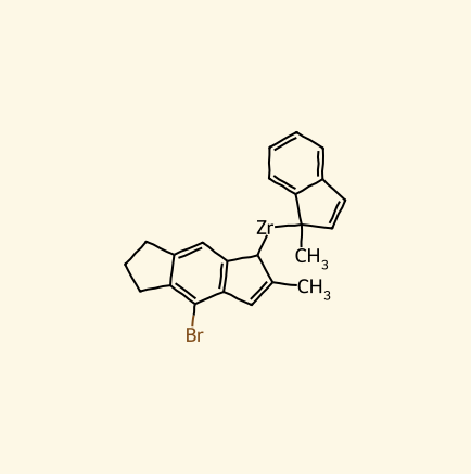 CC1=Cc2c(cc3c(c2Br)CCC3)[CH]1[Zr][C]1(C)C=Cc2ccccc21